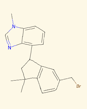 Cn1cnc2c(C3CC(C)(C)c4ccc(CBr)cc43)cccc21